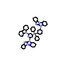 c1ccc([Si](c2ccccc2)(c2cccc(-n3c4ccccc4n4c5ccccc5nc34)c2)c2cc(-n3c4ccccc4c4ccccc43)nc(-n3c4ccccc4n4c5ccccc5nc34)c2)cc1